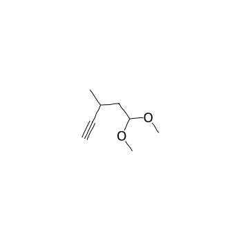 C#CC(C)CC(OC)OC